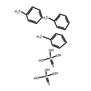 Cc1ccccc1.Cc1ccccc1.Cc1ccccc1.OP(O)(O)=S.OP(O)(O)=S